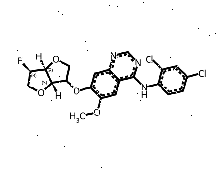 COc1cc2c(Nc3ccc(Cl)cc3Cl)ncnc2cc1OC1CO[C@H]2[C@H](F)CO[C@@H]12